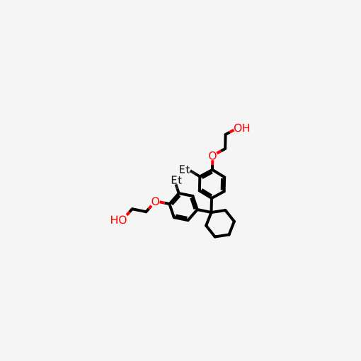 CCc1cc(C2(c3ccc(OCCO)c(CC)c3)CCCCC2)ccc1OCCO